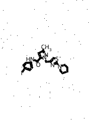 Cc1cc(C(=O)Nc2ccc(I)cc2)n(Cc2csc(N3CCCCC3)n2)n1